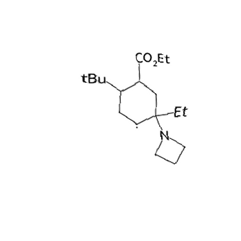 CCOC(=O)C1CC(CC)(N2CCC2)[CH]CC1C(C)(C)C